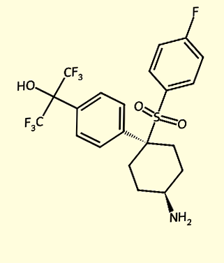 N[C@H]1CC[C@@](c2ccc(C(O)(C(F)(F)F)C(F)(F)F)cc2)(S(=O)(=O)c2ccc(F)cc2)CC1